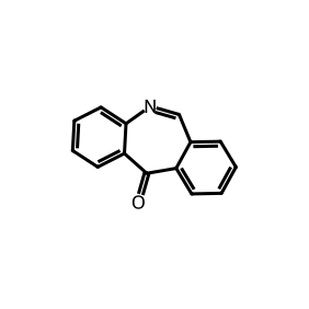 O=c1c2ccccc2cnc2ccccc12